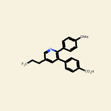 COc1ccc(-c2ncc(CCC(F)(F)F)cc2-c2ccc(C(=O)O)cc2)cc1